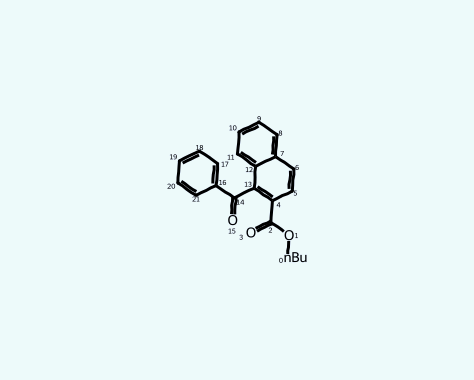 CCCCOC(=O)c1ccc2ccccc2c1C(=O)c1ccccc1